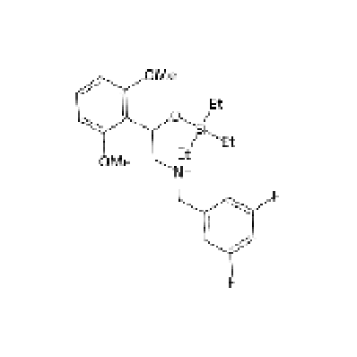 CC[Si](CC)(CC)OC(CNCc1cc(F)cc(F)c1)c1c(OC)cccc1OC